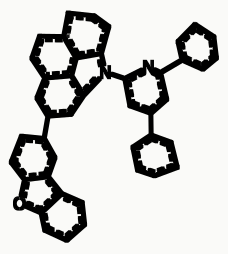 c1ccc(-c2cc(-c3ccccc3)nc(-n3c4cccc5ccc6cc(-c7ccc8oc9ccccc9c8c7)cc3c6c54)c2)cc1